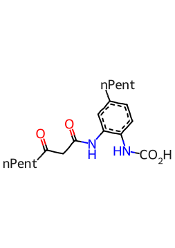 CCCCCC(=O)CC(=O)Nc1cc(CCCCC)ccc1NC(=O)O